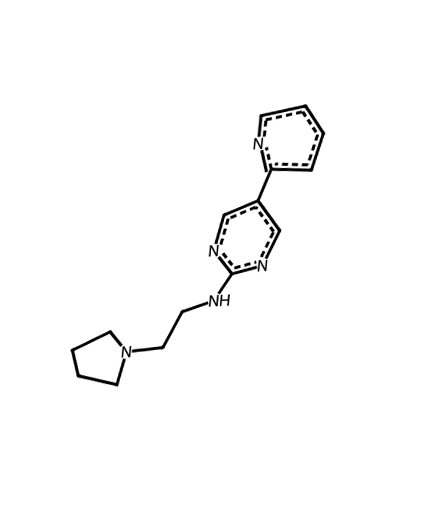 c1ccc(-c2cnc(NCCN3CCCC3)nc2)nc1